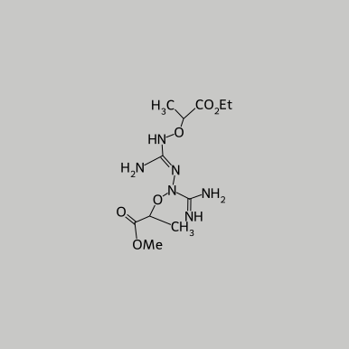 CCOC(=O)C(C)ONC(N)=NN(OC(C)C(=O)OC)C(=N)N